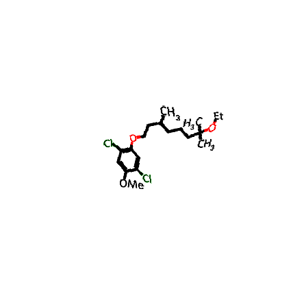 CCOC(C)(C)CCCC(C)CCOc1cc(Cl)c(OC)cc1Cl